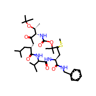 CSCC[C@H](NC(=O)C(NC(=O)[C@@H](CC(=O)[C@@H](NC(=O)OC(C)(C)C)[C@@H](C)OC(C)(C)C)CC(C)C)C(C)C)C(=O)NCc1ccccc1